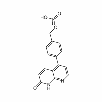 O=c1ccc2c(-c3ccc(CO[PH](=O)O)cc3)ccnc2[nH]1